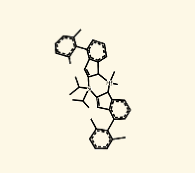 Cc1cccc(C)c1-c1cccc2c1C=C1[CH]2[Hf]([CH3])([CH3])[CH]2C(=Cc3c(-c4c(C)cccc4C)cccc32)[Si]1(C(C)C)C(C)C